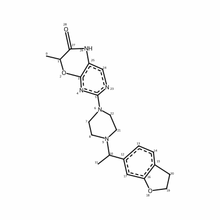 CC1Oc2nc(N3CCN(C(C)c4ccc5c(c4)OCC5)CC3)ncc2NC1=O